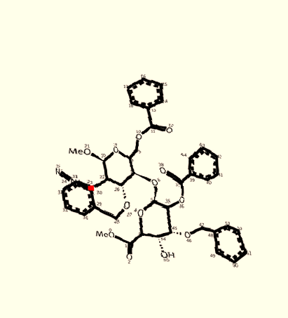 COC(=O)C1O[C@@H](O[C@@H]2C(COC(=O)c3ccccc3)O[C@H](OC)C(N=[N+]=[N-])[C@H]2OCc2ccccc2)C(OC(=O)c2ccccc2)[C@H](OCc2ccccc2)[C@@H]1O